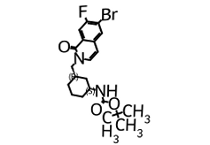 CC(C)(C)OC(=O)N[C@H]1CCC[C@@H](Cn2ccc3cc(Br)c(F)cc3c2=O)C1